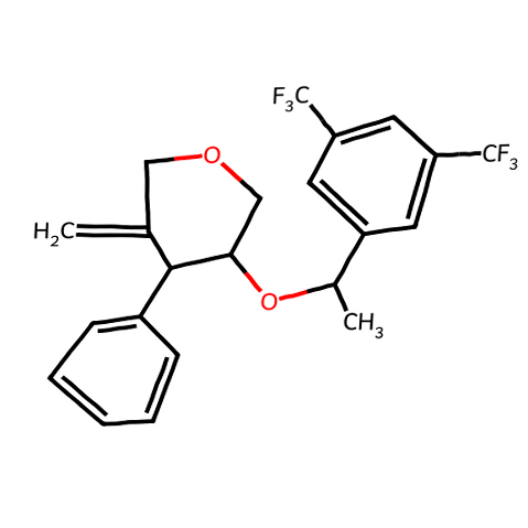 C=C1COCC(OC(C)c2cc(C(F)(F)F)cc(C(F)(F)F)c2)C1c1ccccc1